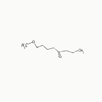 CCCC(=O)CCCCOC